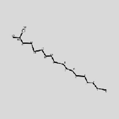 CCCCCCCCCCCCCCCCC(C)Cl